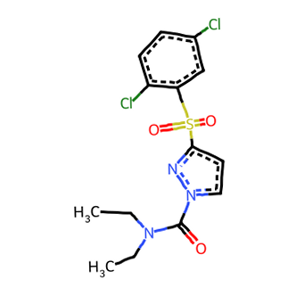 CCN(CC)C(=O)n1ccc(S(=O)(=O)c2cc(Cl)ccc2Cl)n1